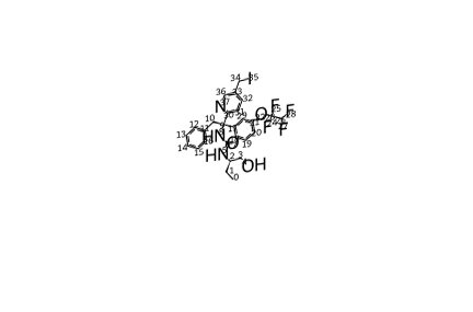 CC[C@H](CO)NC(=O)N[C@@](Cc1ccccc1)(c1cccc(OC(F)(F)C(F)F)c1)c1ccc(CI)cn1